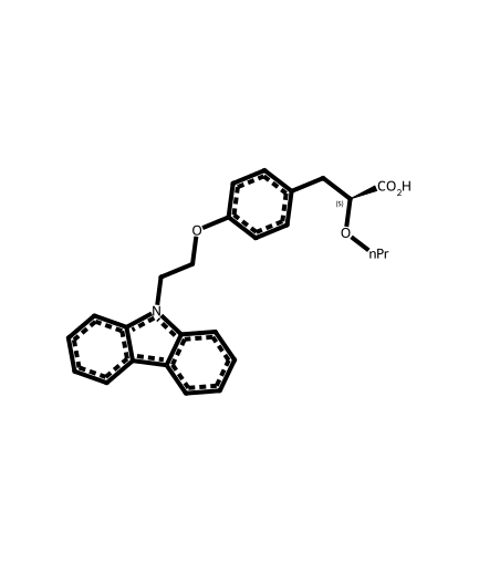 CCCO[C@@H](Cc1ccc(OCCn2c3ccccc3c3ccccc32)cc1)C(=O)O